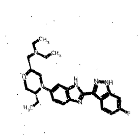 CC[C@H]1CO[C@@H](CN(CC)CC)CN1c1ccc2nc(-c3n[nH]c4cc(F)ccc34)[nH]c2c1